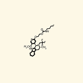 COc1cnc(OCCOC(=O)NCCCF)cc1[C@@H]1c2[nH]c3ccccc3c2C[C@@H](C)N1CC(F)(F)F